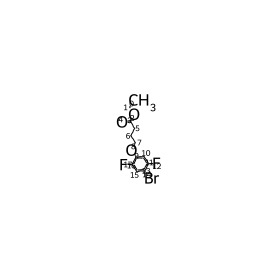 CCOC(=O)CCCOc1cc(F)c(Br)cc1F